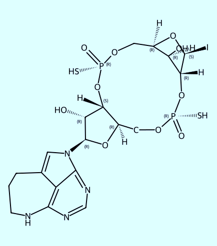 O=[P@@]1(S)OC[C@H]2O[C@@H](n3cc4c5c(ncnc53)NCCC4)[C@H](O)[C@@H]2O[P@](=O)(S)OC[C@H]2O[C@@H](I)[C@H](O1)[C@@H]2O